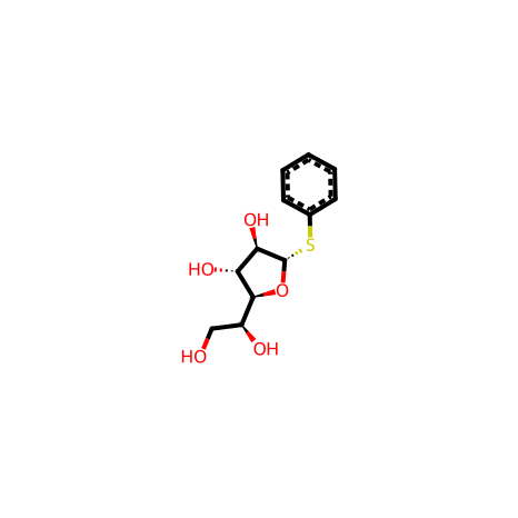 OC[C@H](O)[C@@H]1O[C@@H](Sc2ccccc2)[C@H](O)[C@H]1O